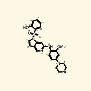 COc1cc(N2CCNCC2)ccc1Nc1cc2c(ccn2S(=O)(=O)c2ccccc2C#N)cn1